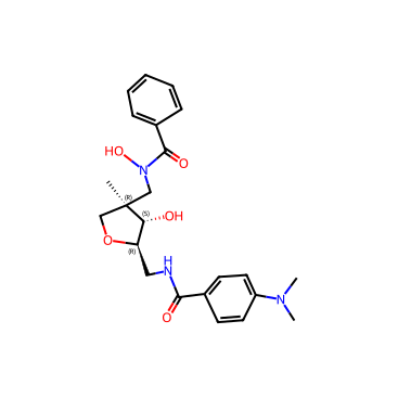 CN(C)c1ccc(C(=O)NC[C@H]2OC[C@@](C)(CN(O)C(=O)c3ccccc3)[C@@H]2O)cc1